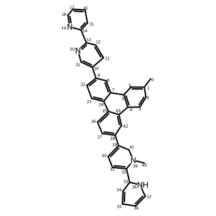 Cc1ccc2c(c1)c1cc(-c3ccc(-c4ccccn4)nc3)ccc1c1ccc(C3=CC=C(C4C=CC=CN4)N(C)C3)cc12